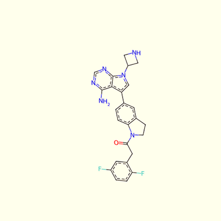 Nc1ncnc2c1c(-c1ccc3c(c1)CCN3C(=O)Cc1cc(F)ccc1F)cn2C1CNC1